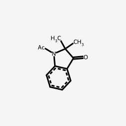 CC(=O)N1c2ccccc2C(=O)C1(C)C